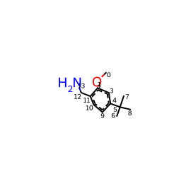 COc1cc(C(C)(C)C)ccc1CN